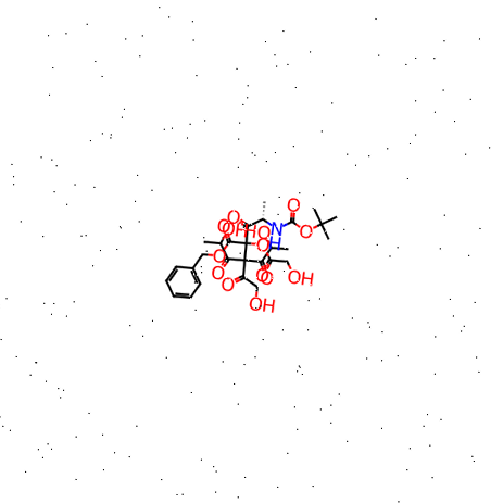 CC(O)C(=O)C(C(=O)CO)(C(=O)C(C)O)C(OC(=O)CO)(C(=O)OCc1ccccc1)C(=O)[C@H](C)NC(=O)OC(C)(C)C